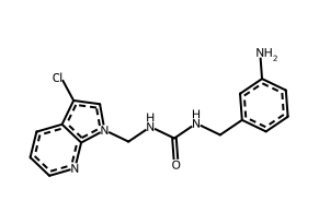 Nc1cccc(CNC(=O)NCn2cc(Cl)c3cccnc32)c1